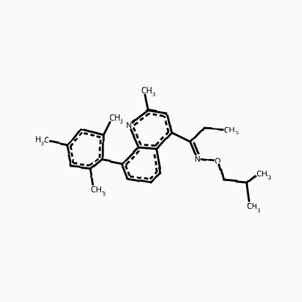 CCC(=NOCC(C)C)c1cc(C)nc2c(-c3c(C)cc(C)cc3C)cccc12